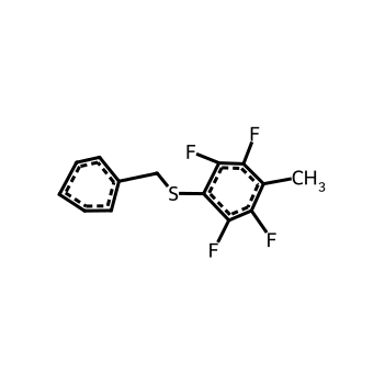 Cc1c(F)c(F)c(SCc2ccccc2)c(F)c1F